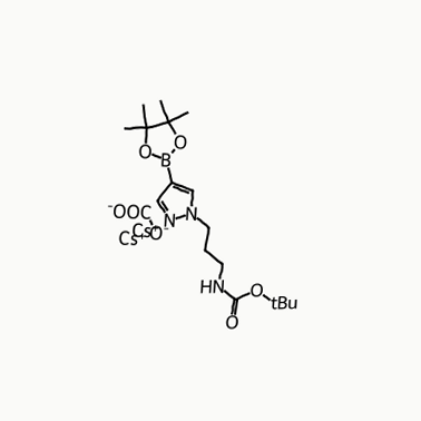 CC(C)(C)OC(=O)NCCCn1cc(B2OC(C)(C)C(C)(C)O2)cn1.O=C([O-])[O-].[Cs+].[Cs+]